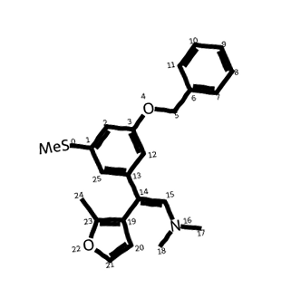 CSc1cc(OCc2ccccc2)cc(/C(=C/N(C)C)c2ccoc2C)c1